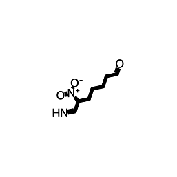 N=C[C](CCCCC=O)[N+](=O)[O-]